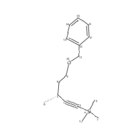 C[C@@H](C#C[Si](C)(C)C)CCOCc1ccccc1